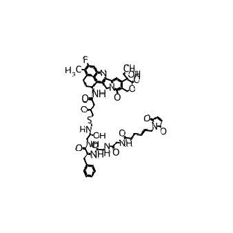 CC[C@@]1(O)C(=O)OCc2c1cc1n(c2=O)Cc2c-1nc1cc(F)c(C)c3c1c2[C@@H](NC(=O)CC(=O)CSCNC(O)CNC(=O)[C@H](Cc1ccccc1)NC(=O)CNC(=O)CNC(=O)CCCCCN1C(=O)C=CC1=O)CC3